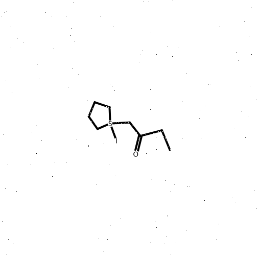 CCC(=O)CS1(I)CCCC1